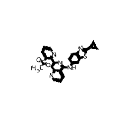 CS(=O)(=O)c1cccnc1-c1cc2ncccc2c(Nc2ccc3nc(C4CC4)sc3c2)n1